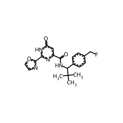 CC(C)(C)C(NC(=O)c1cc(=O)[nH]c(-c2ncco2)n1)c1ccc(CF)cc1